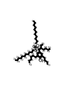 CCCCCCCCCCCOP(=O)(OCCCCCCCCCCC)C(c1cc(CCCC)c(O)c(CCCCCC)c1)C(CC)CCCC